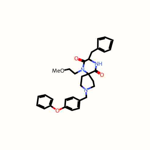 COCCN1C(=O)C(Cc2ccccc2)NC(=O)C12CCN(Cc1ccc(Oc3ccccc3)cc1)CC2